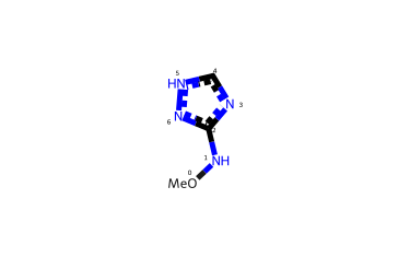 CONc1nc[nH]n1